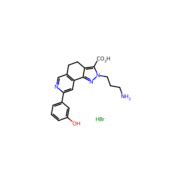 Br.NCCCn1nc2c(c1C(=O)O)CCc1cnc(-c3cccc(O)c3)cc1-2